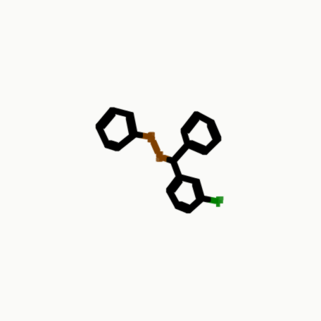 Fc1cccc(C(SSc2ccccc2)c2ccccc2)c1